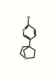 Brc1ccc(C23CCN(CC2)C3)cn1